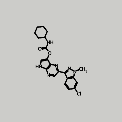 Cn1nc(-c2cnc3[nH]cc(OC(=O)NC4CCCCC4)c3n2)c2ccc(Cl)cc21